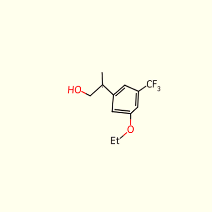 CCOc1cc([C](C)CO)cc(C(F)(F)F)c1